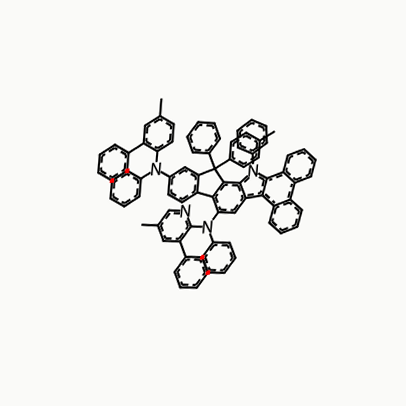 Cc1ccc(C2(c3ccccc3)c3cc(N(c4ccccc4)c4ccc(C)cc4-c4ccccc4)ccc3-c3c(N(c4ccccc4)c4ncc(C)cc4-c4ccccc4)cc4c5c6ccccc6c6ccccc6c5n(-c5ccccc5)c4c32)cc1